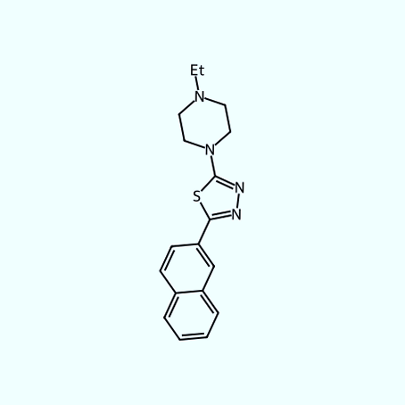 CCN1CCN(c2nnc(-c3ccc4ccccc4c3)s2)CC1